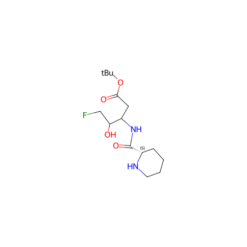 CC(C)(C)OC(=O)CC(NC(=O)[C@@H]1CCCCN1)C(O)CF